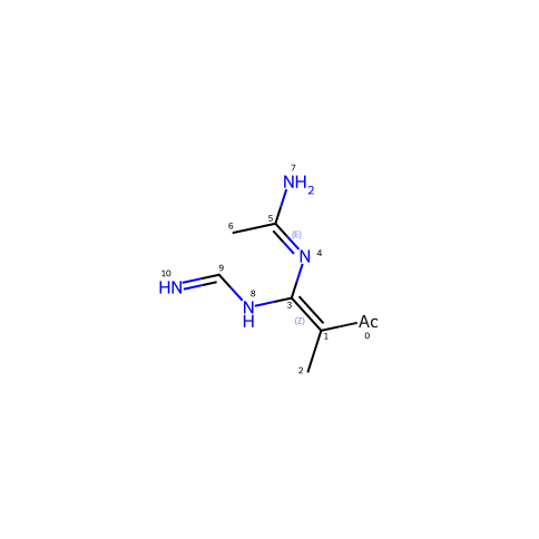 CC(=O)/C(C)=C(\N=C(/C)N)NC=N